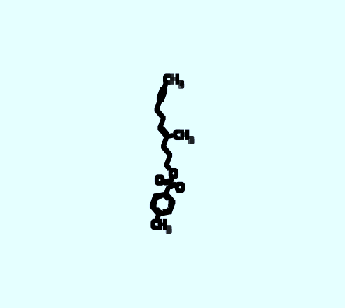 CC#CCC/C=C(\C)CCCOS(=O)(=O)c1ccc(C)cc1